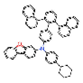 c1cc(-c2cccc3ccccc23)c(-c2ccc(N(c3ccc(C4CCCCC4)cc3)c3ccc4c(c3)oc3ccccc34)cc2)c(-c2cccc3ccccc23)c1